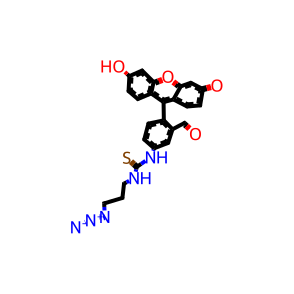 [N-]=[N+]=NCCCNC(=S)Nc1ccc(-c2c3ccc(=O)cc-3oc3cc(O)ccc23)c(C=O)c1